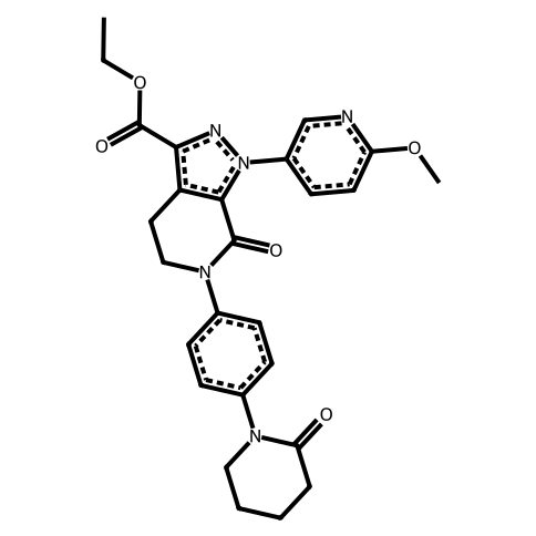 CCOC(=O)c1nn(-c2ccc(OC)nc2)c2c1CCN(c1ccc(N3CCCCC3=O)cc1)C2=O